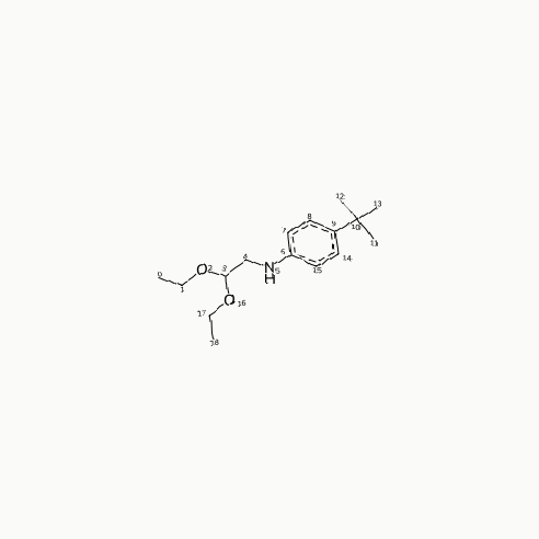 CCOC(CNc1ccc(C(C)(C)C)cc1)OCC